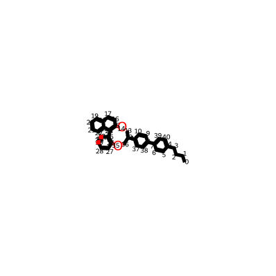 CCCCc1ccc(-c2ccc(C3COc4ccc5ccccc5c4-c4c(ccc5ccccc45)OC3)cc2)cc1